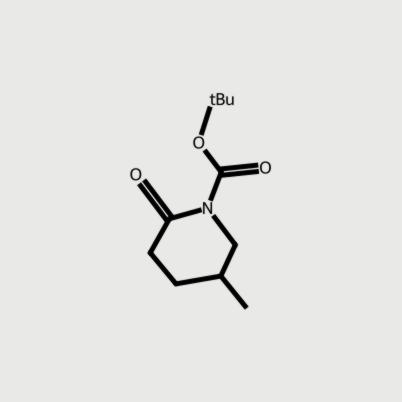 CC1CCC(=O)N(C(=O)OC(C)(C)C)C1